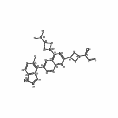 C=CC(=O)N1CC(c2nc(N3CC(N(C)C)C3)c3cc(-c4c(C)ccc5[nH]ncc45)ccc3n2)C1